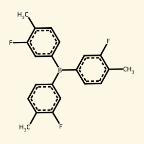 Cc1ccc(B(c2ccc(C)c(F)c2)c2ccc(C)c(F)c2)cc1F